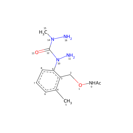 CC(=O)NOCc1c(C)cccc1N(N)C(=O)N(C)N